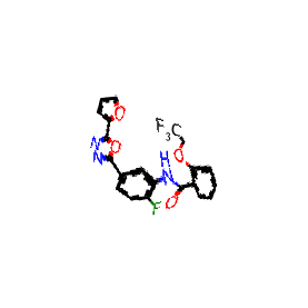 O=C(Nc1cc(-c2nnc(-c3ccco3)o2)ccc1F)c1ccccc1OCC(F)(F)F